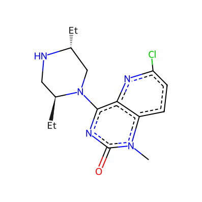 CC[C@@H]1CN(c2nc(=O)n(C)c3ccc(Cl)nc23)[C@@H](CC)CN1